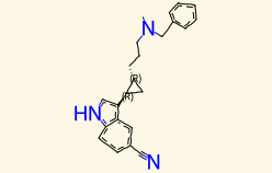 CN(CCC[C@@H]1C[C@H]1c1c[nH]c2ccc(C#N)cc12)Cc1ccccc1